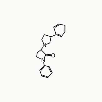 O=C1C(N2CCC(c3ccccc3)C2)CCN1c1ccccc1